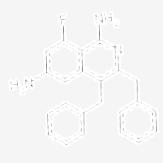 Nc1cc(F)c2c(N)nc(Cc3ccccc3)c(Cc3ccccc3)c2c1